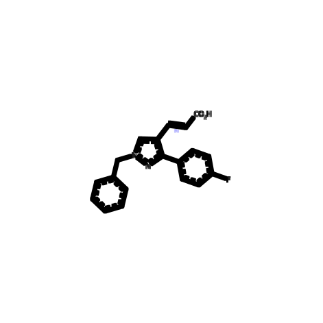 O=C(O)/C=C/c1cn(Cc2ccccc2)nc1-c1ccc(F)cc1